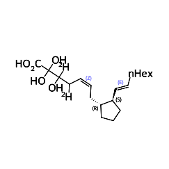 [2H]C(/C=C\C[C@H]1CCC[C@@H]1/C=C/CCCCCC)C([2H])(O)C(O)(O)C(=O)O